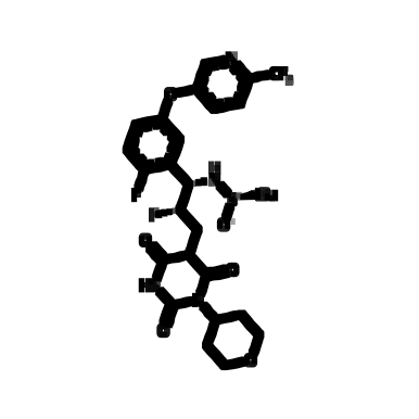 CC(C)(C)[S@@+]([O-])N[C@@H](c1cc(Oc2ccc(C(F)(F)F)nc2)ccc1F)[C@@H](F)CC1C(=O)NC(=O)N(C2CCOCC2)C1=O